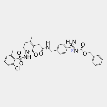 CC1=C(CC(=O)NCc2ccc(/C(N)=N/C(=O)OCc3ccccc3)cc2)C(=O)N(NS(=O)(=O)c2c(C)cccc2Cl)CC1